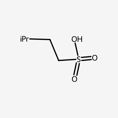 [CH2]C(C)CCS(=O)(=O)O